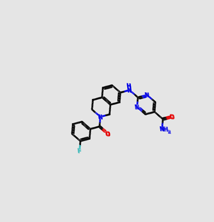 NC(=O)c1cnc(Nc2ccc3c(c2)CN(C(=O)c2cccc(F)c2)CC3)nc1